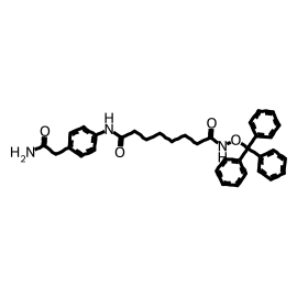 NC(=O)Cc1ccc(NC(=O)CCCCCCC(=O)NOC(c2ccccc2)(c2ccccc2)c2ccccc2)cc1